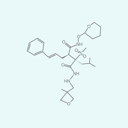 CC(C)C[C@](C(=O)NNCC1(C)COC1)([C@@H](CC=Cc1ccccc1)C(=O)NOC1CCCCO1)S(C)(=O)=O